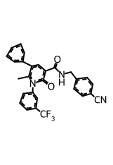 Cc1c(-c2ccccc2)cc(C(=O)NCc2ccc(C#N)cc2)c(=O)n1-c1cccc(C(F)(F)F)c1